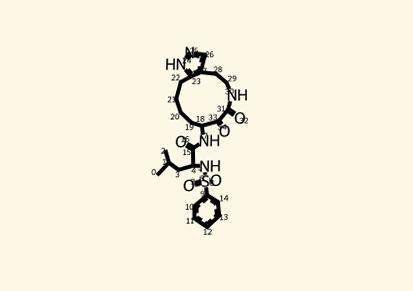 CC(C)CC(NS(=O)(=O)c1ccccc1)C(=O)NC1CCCCc2[nH]ncc2CCNC(=O)C1=O